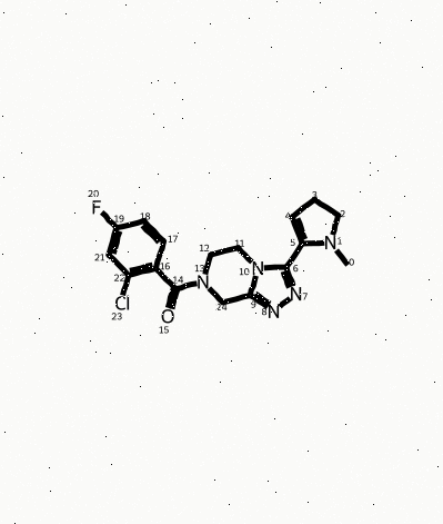 CN1CCC=C1c1nnc2n1CCN(C(=O)c1ccc(F)cc1Cl)C2